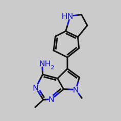 Cc1nc(N)c2c(-c3ccc4c(c3)CCN4)cn(C)c2n1